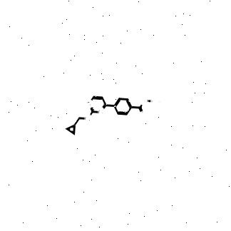 CC(C)(C)OC(=O)c1ccc(-c2ccnc(NCC3CC3)n2)cc1